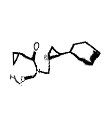 C=CN(C[C@H]1CC1C1CC=CCC1)C(=O)C1CC1